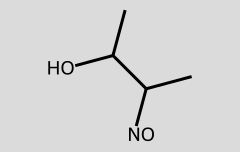 CC(O)C(C)N=O